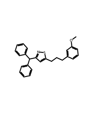 COc1cccc(CCCc2cc(C(c3ccccc3)c3ccccc3)ns2)c1